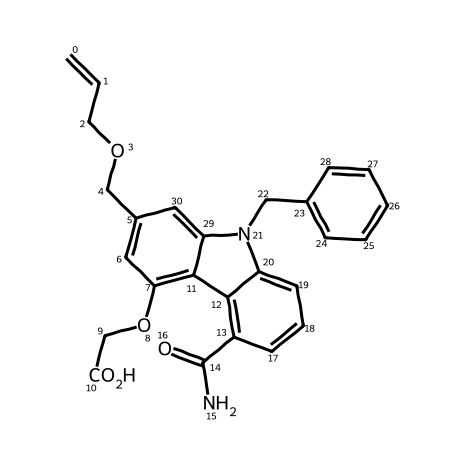 C=CCOCc1cc(OCC(=O)O)c2c3c(C(N)=O)cccc3n(Cc3ccccc3)c2c1